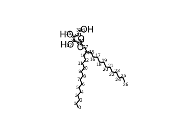 CCCCCCCCCCCCCCC(CCCCCCCCCCCC)COC1O[C@H](CO)[C@H](O)[C@H]1O